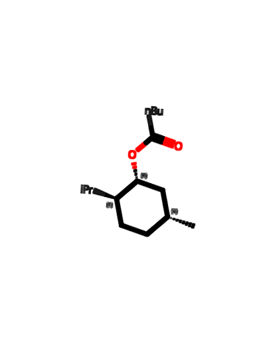 CCCCC(=O)O[C@@H]1C[C@H](C)CC[C@H]1C(C)C